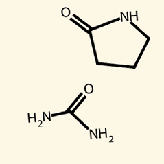 NC(N)=O.O=C1CCCN1